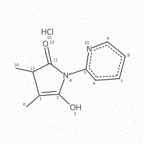 CC1=C(O)N(c2ccccn2)C(=O)C1C.Cl